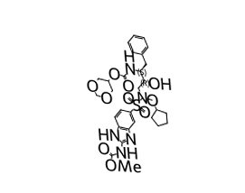 COC(=O)Nc1nc2cc(S(=O)(=O)N(C[C@@H](O)[C@H](Cc3ccccc3)NC(=O)OC3COCOC3)OC3CCCC3)ccc2[nH]1